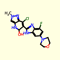 Cn1cc2c(n1)C(Cl)=C(c1nc3c(F)cc(N4CCOCC4)cc3[nH]1)C(O)N2